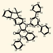 CC1(C)c2ccccc2-c2cc3c4c(=O)n(-c5ccccc5)c5ccccc5c4n(-c4nc(-c5ccccc5)nc(-c5ccccc5)n4)c3cc21